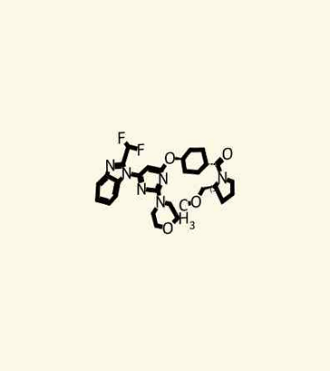 COC[C@@H]1CCCN1C(=O)[C@H]1CC[C@H](Oc2cc(-n3c(C(F)F)nc4ccccc43)nc(N3CCOCC3)n2)CC1